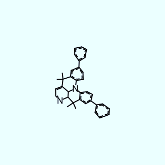 CC1(C)C2=CC=NC3C2N(c2ccc(-c4ccccc4)cc21)c1ccc(-c2ccccc2)cc1C3(C)C